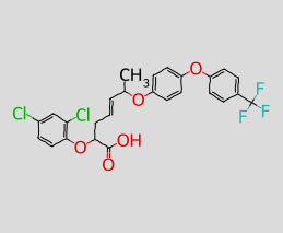 CC(C=CCC(Oc1ccc(Cl)cc1Cl)C(=O)O)Oc1ccc(Oc2ccc(C(F)(F)F)cc2)cc1